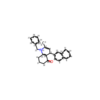 CC1=CC(c2ccc3ccccc3c2)C2=C(CCCC2=O)N1Cc1ccccc1